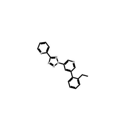 CCc1ccccc1-c1cncc(-n2nnc(-c3ccccn3)n2)c1